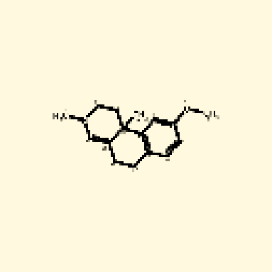 COc1ccc2c(c1)C1(C)CCN(C)C=C1CC2